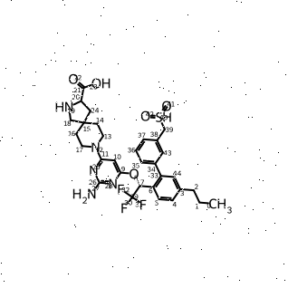 CCCc1ccc([C@@H](Oc2cc(N3CCC4(CC3)CNC(C(=O)O)C4)nc(N)n2)C(F)(F)F)c(-c2cccc(C[SH](=O)=O)c2)c1